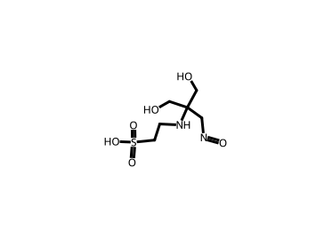 O=NCC(CO)(CO)NCCS(=O)(=O)O